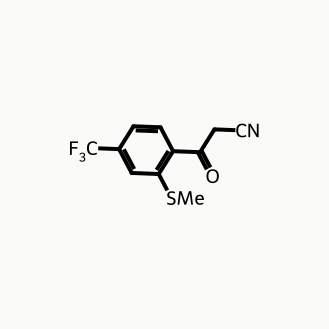 CSc1cc(C(F)(F)F)ccc1C(=O)CC#N